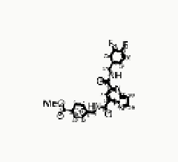 COC(=O)C12CCC(CNC(=O)c3cc(C(=O)NCc4ccc(F)c(F)c4)nc4ccnn34)(CC1)CC2